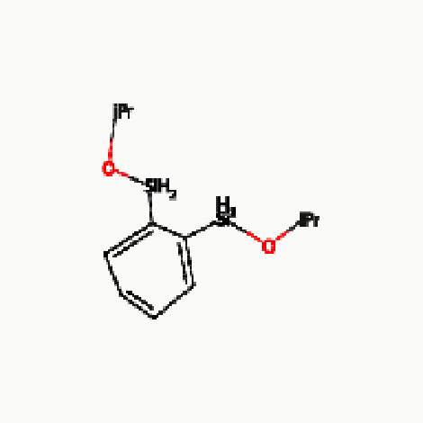 CC(C)O[SiH2]c1ccccc1[SiH2]OC(C)C